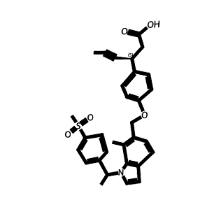 CC#C[C@@H](CC(=O)O)c1ccc(OCc2ccc3ccn(C(C)c4ccc(S(C)(=O)=O)cc4)c3c2C)cc1